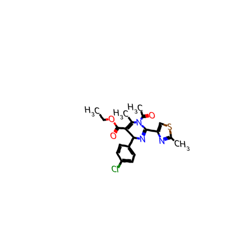 CCOC(=O)C1=C(C)N(C(C)=O)C(c2csc(C)n2)=NC1c1ccc(Cl)cc1